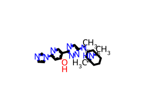 CN(c1cnc(-c2cnc(-n3ccnc3)cc2O)nn1)[C@H]1C[C@]2(C)CCC[C@](C)(C1)N2